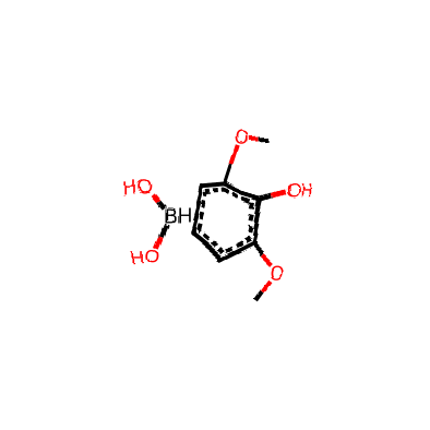 COc1cccc(OC)c1O.OBO